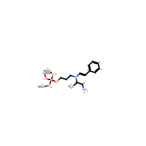 COO[Si](OCCCN(C=Cc1ccccc1)C(C)CN)(OOC)OOC